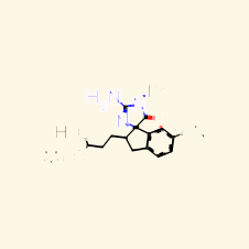 COC(C)CCC1Cc2ccc(C#N)cc2C12N=C(N)N(C(C)C)C2=O